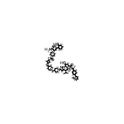 CC(C)[C@H](C(=O)N1C[C@H](O)C[C@H]1C(=O)N[C@@H](C)c1ccc(-c2ccnn2C)cc1)c1cc(N2CCC(CN3CCC(OC4CC(OC(=O)N5CCN(c6cc(-c7ccccc7O)nnc6N)CC5)C4)CC3)CC2)no1